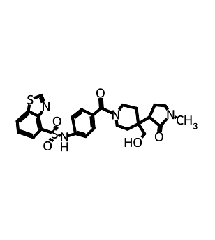 CN1CCC(C2(CO)CCN(C(=O)c3ccc(NS(=O)(=O)c4cccc5scnc45)cc3)CC2)C1=O